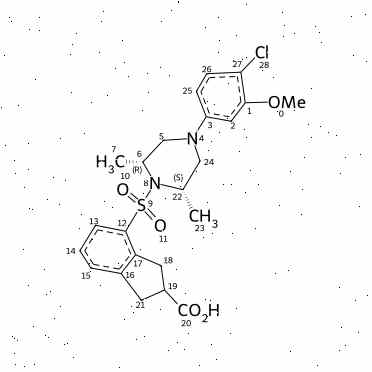 COc1cc(N2C[C@@H](C)N(S(=O)(=O)c3cccc4c3CC(C(=O)O)C4)[C@@H](C)C2)ccc1Cl